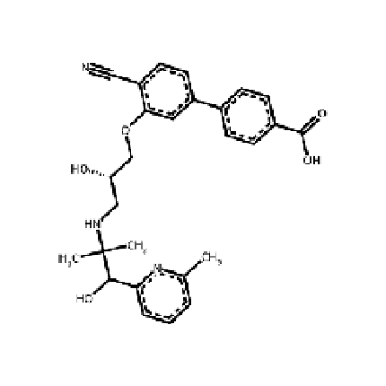 Cc1cccc(C(O)C(C)(C)NC[C@H](O)COc2cc(-c3ccc(C(=O)O)cc3)ccc2C#N)n1